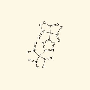 O=[N+]([O-])C(c1noc(C([N+](=O)[O-])([N+](=O)[O-])[N+](=O)[O-])n1)([N+](=O)[O-])[N+](=O)[O-]